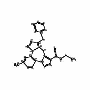 CCOC(=O)c1ncn2c1Cc1c(Cc3cccnc3)nnn1-c1cc(C)ccc1-2